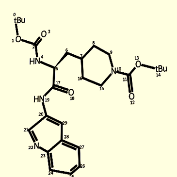 CC(C)(C)OC(=O)N[C@@H](CC1CCN(C(=O)OC(C)(C)C)CC1)C(=O)Nc1cnc2ccccc2c1